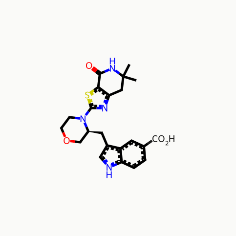 CC1(C)Cc2nc(N3CCOC[C@@H]3Cc3c[nH]c4ccc(C(=O)O)cc34)sc2C(=O)N1